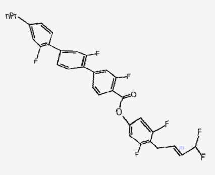 CCCc1ccc(-c2ccc(-c3ccc(C(=O)Oc4cc(F)c(C/C=C/C(F)F)c(F)c4)c(F)c3)c(F)c2)c(F)c1